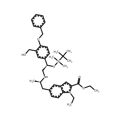 CCOC(=O)c1cc2cc(C[C@@H](C)NC[C@H](O[Si](C)(C)C(C)(C)C)c3ccc(OCc4ccccc4)c(CO)c3)ccc2n1CC